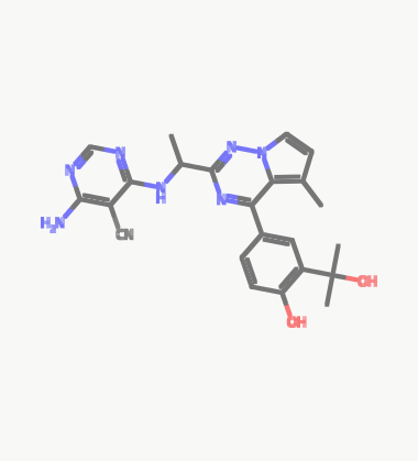 Cc1ccn2nc(C(C)Nc3ncnc(N)c3C#N)nc(-c3ccc(O)c(C(C)(C)O)c3)c12